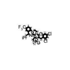 CC(C)CC(N)c1cc(C(F)(F)F)ccc1N1CCN(C(=O)C(Cc2ccc(Cl)cc2Cl)N2CCN(C)C2=O)CC1